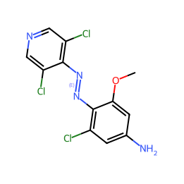 COc1cc(N)cc(Cl)c1/N=N/c1c(Cl)cncc1Cl